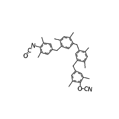 Cc1cc(C)c(Cc2cc(Cc3cc(C)c(OC#N)c(C)c3)c(C)cc2C)cc1Cc1cc(C)c(N=C=O)c(C)c1